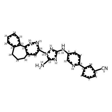 N#Cc1cccc(-c2ccc(Nc3nc(N)n(-c4cc5c(nn4)-c4ccccc4CCC5)n3)cn2)c1